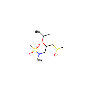 CC(OC(CN(C(C)(C)C)S(C)(=O)=O)C[S+](C)[O-])C(C)(C)C